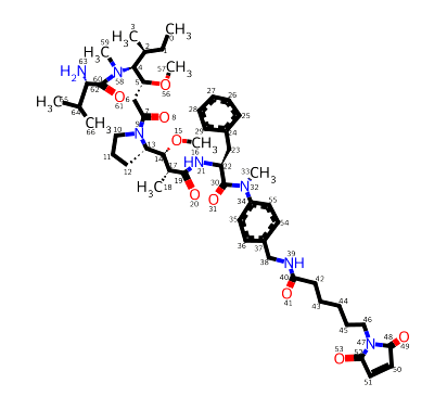 CC[C@H](C)[C@@H]([C@@H](CC(=O)N1CCC[C@H]1[C@H](OC)[C@@H](C)C(=O)N[C@@H](Cc1ccccc1)C(=O)N(C)c1ccc(CNC(=O)CCCCCN2C(=O)C=CC2=O)cc1)OC)N(C)C(=O)[C@@H](N)C(C)C